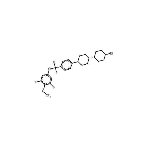 CC[C@H]1CC[C@H](C2CCC(c3ccc(C(F)(F)Oc4cc(F)c(OC(F)(F)F)c(F)c4)cc3)CC2)CC1